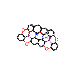 Nc1c2c(cc3cc4c5c(c13)N(c1ccccc1)c1cccc3c1P5(=S)c1c(cccc1O4)O3)Oc1cccc3c1P2(=S)c1c(Cc2ccccc2)cccc1O3